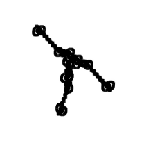 C=CC(=O)OCCCCCCCCCCCCOc1ccc(C(=O)Oc2ccc(OC(=O)c3ccc(OCCCCCCCCCCCCOC(=O)C=C)cc3)c(C(=O)OCc3ccc(OC(=O)c4ccc(OCCCCCCCCOC(=O)C=C)cc4)cc3)c2)cc1